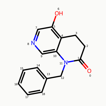 O=C1CCc2c(O)cncc2N1Cc1ccccc1